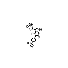 O=P1(O)OC[C@H](c2c[nH]c3cc(F)c(-c4ccc(C5(O)CCC5)cc4)c(F)c23)O1